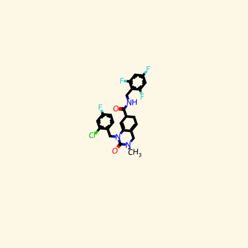 CN1CC2=CCC(C(=O)NCc3c(F)cc(F)cc3F)C=C2N(Cc2ccc(F)cc2Cl)C1=O